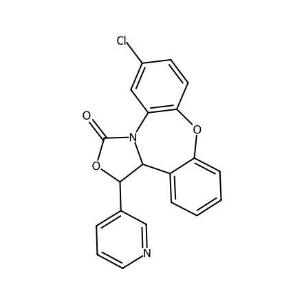 O=C1OC(c2cccnc2)C2c3ccccc3Oc3ccc(Cl)cc3N12